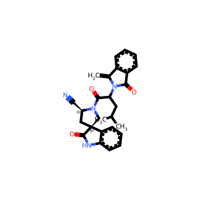 C=C1c2ccccc2C(=O)N1C(CC(C)C)C(=O)N1C[C@]2(C[C@H]1C#N)C(=O)Nc1ccccc12